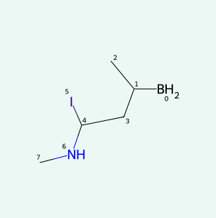 BC(C)CC(I)NC